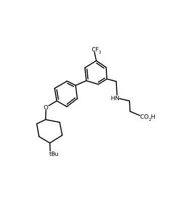 CC(C)(C)C1CCC(Oc2ccc(-c3cc(CNCCC(=O)O)cc(C(F)(F)F)c3)cc2)CC1